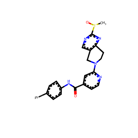 CC(C)c1ccc(NC(=O)c2ccnc(N3CCc4nc([S+](C)[O-])ncc4C3)c2)cc1